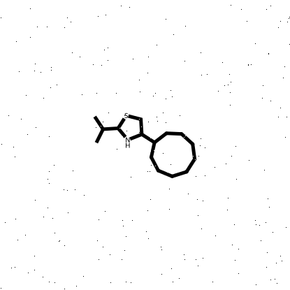 CC(C)C1NC(C2CCCCCCCC2)CS1